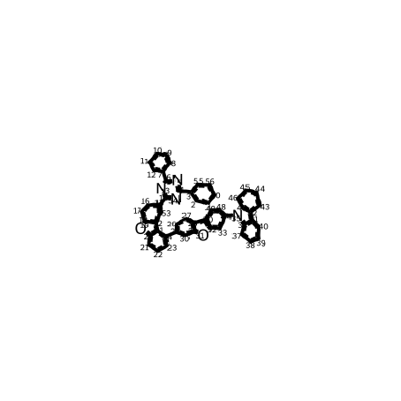 c1ccc(-c2nc(-c3ccccc3)nc(-c3ccc4oc5cccc(-c6ccc7c(c6)oc6cc(-n8c9ccccc9c9ccccc98)ccc67)c5c4c3)n2)cc1